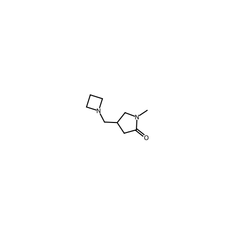 CN1CC(CN2CCC2)CC1=O